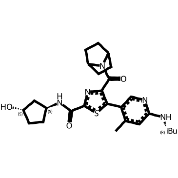 CC[C@@H](C)Nc1cc(C)c(-c2sc(C(=O)N[C@H]3CC[C@H](O)C3)nc2C(=O)N2C3CCC2CC3)cn1